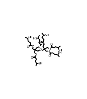 CC(S)CCC(=O)OCC(COCC(COC(=O)CCC(C)S)(COC(=O)CCC(C)S)COC(=O)CCC(C)S)(COC(=O)CCC(C)S)COC(=O)CCC(C)S